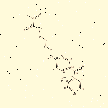 C=C(C)C(=O)OCCCCOc1ccc(C(=O)c2ccccc2)c(O)c1